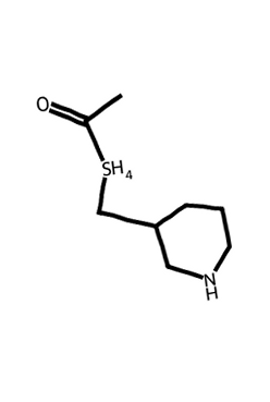 CC(=O)[SH4]CC1CCCNC1